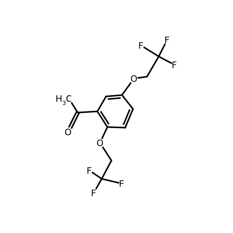 CC(=O)c1cc(OCC(F)(F)F)ccc1OCC(F)(F)F